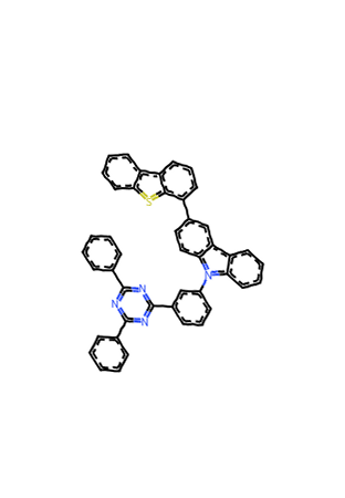 c1ccc(-c2nc(-c3ccccc3)nc(-c3cccc(-n4c5ccccc5c5cc(-c6cccc7c6sc6ccccc67)ccc54)c3)n2)cc1